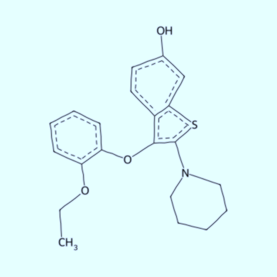 CCOc1ccccc1Oc1c(N2CCCCC2)sc2cc(O)ccc12